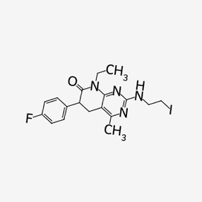 CCN1C(=O)C(c2ccc(F)cc2)Cc2c(C)nc(NCCI)nc21